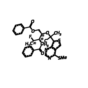 CSc1ncnc2c(C(C)(C)O[C@H](COC(=O)c3ccccc3)[C@@H](OC(=O)c3ccccc3)[C@@H](C)F)scc12